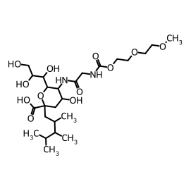 COCCOCCOC(=O)NCC(=O)NC1C(O)CC(CC(C)C(C)C(C)C)(C(=O)O)OC1C(O)C(O)CO